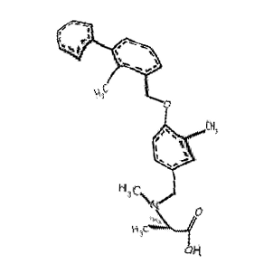 Cc1cc(CN(C)[C@H](C)C(=O)O)ccc1OCc1cccc(-c2ccccc2)c1C